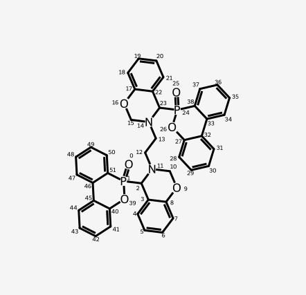 O=P1(C2c3ccccc3OCN2CCN2COc3ccccc3C2P2(=O)Oc3ccccc3-c3ccccc32)Oc2ccccc2-c2ccccc21